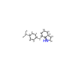 CC(C)c1ccc(Cc2cccc3[c]c[nH]c23)cc1